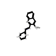 COc1cc2ccccc2nc1/C=C/c1cnccn1